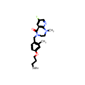 CNCCCOc1ccc(CN2CCN(C)c3ncc(F)cc3C2=O)c(C)c1